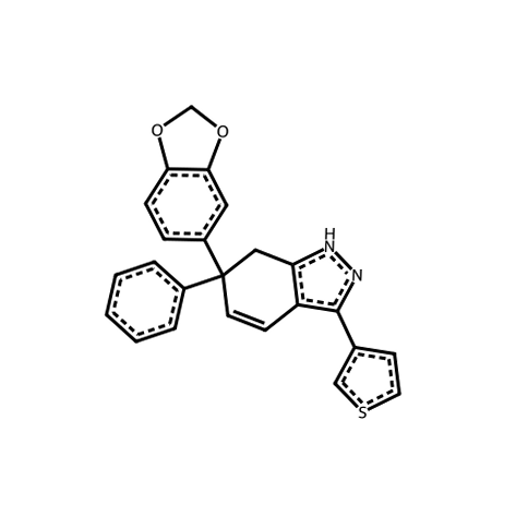 C1=CC(c2ccccc2)(c2ccc3c(c2)OCO3)Cc2[nH]nc(-c3ccsc3)c21